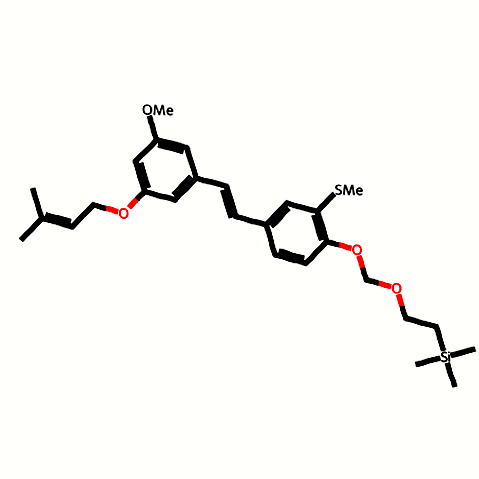 COc1cc(/C=C/c2ccc(OCOCC[Si](C)(C)C)c(SC)c2)cc(OCC=C(C)C)c1